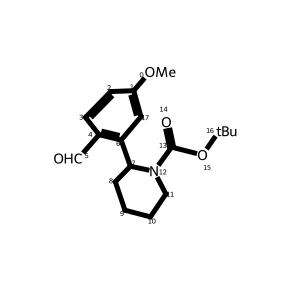 COc1ccc(C=O)c(C2CCCCN2C(=O)OC(C)(C)C)c1